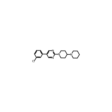 Clc1cccc(-c2cnc(N3CCC(N4CCCCC4)CC3)nc2)c1